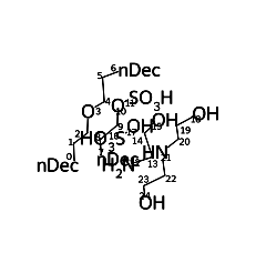 CCCCCCCCCCCCOCCCCCCCCCCCC.CCCCCCCCCCCCOS(=O)(=O)O.NCCO.O=S(=O)(O)O.OCCNCCO